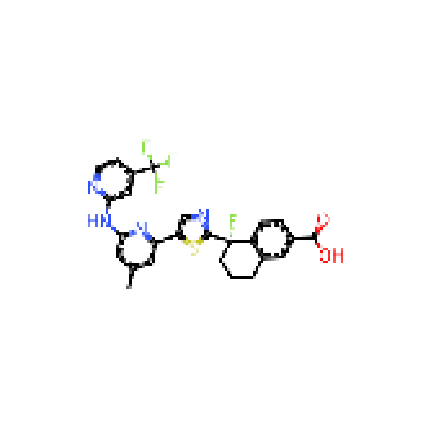 Cc1cc(Nc2cc(C(F)(F)F)ccn2)nc(-c2cnc([C@]3(F)CCCc4cc(C(=O)O)ccc43)s2)c1